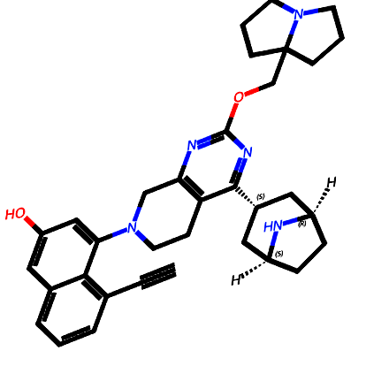 C#Cc1cccc2cc(O)cc(N3CCc4c(nc(OCC56CCCN5CCC6)nc4[C@@H]4C[C@H]5CC[C@@H](C4)N5)C3)c12